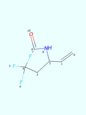 C=CC(CC(F)(F)F)NC=O